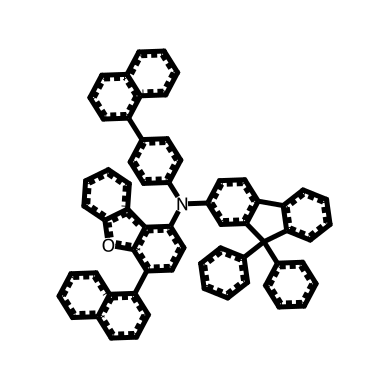 c1ccc(C2(c3ccccc3)c3ccccc3-c3ccc(N(c4ccc(-c5cccc6ccccc56)cc4)c4ccc(-c5cccc6ccccc56)c5oc6ccccc6c45)cc32)cc1